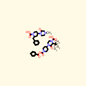 CC(C)(C)C1C(=O)N(C2CCN(C(=O)OC(=O)c3ccccc3)CC2)CCN1C(=O)O.CN1CCN(C2CCN(C(=O)O)C(Cc3ccccc3)C2)C(=O)C1